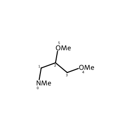 CNCC(COC)OC